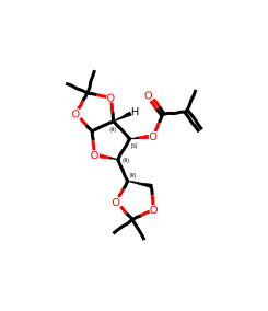 C=C(C)C(=O)O[C@H]1[C@@H]([C@H]2COC(C)(C)O2)OC2OC(C)(C)O[C@@H]21